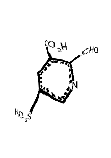 O=Cc1ncc(S(=O)(=O)O)cc1C(=O)O